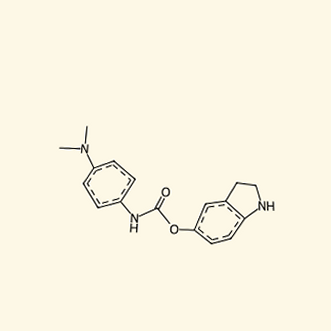 CN(C)c1ccc(NC(=O)Oc2ccc3c(c2)CCN3)cc1